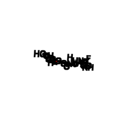 C[C@]12CC[C@@H]3c4ccc(O)cc4CC[C@H]3[C@@H]1CC[C@@H]2OCCOCC(=O)NCc1ccc(-c2[nH]c3cc(F)cc4c3c2CCNC4=O)cc1